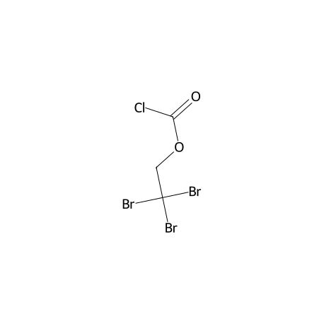 O=C(Cl)OCC(Br)(Br)Br